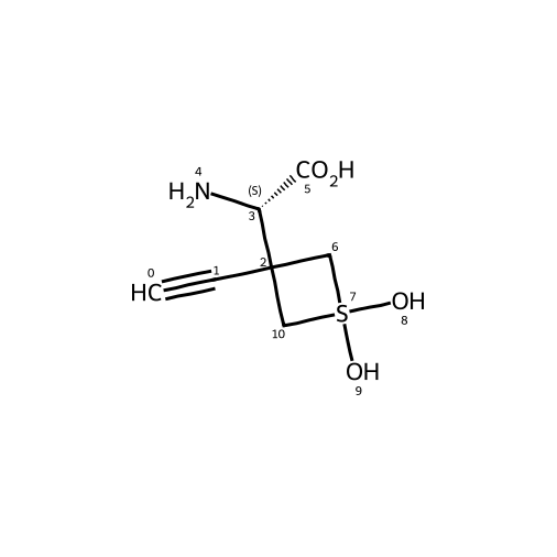 C#CC1([C@H](N)C(=O)O)CS(O)(O)C1